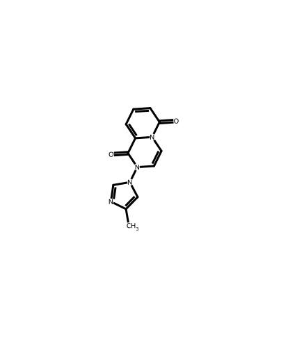 Cc1cn(-n2ccn3c(=O)cccc3c2=O)cn1